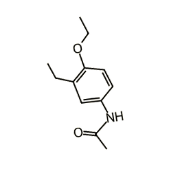 CCOc1ccc(NC(C)=O)cc1CC